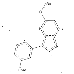 [CH2]CCCOc1ccc2ncc(-c3cccc(OC)c3)n2n1